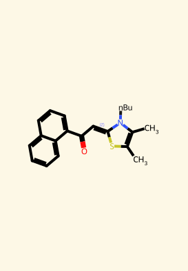 CCCCN1C(C)=C(C)S/C1=C\C(=O)c1cccc2ccccc12